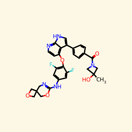 CC1(O)CN(C(=O)c2ccc(-c3c[nH]c4nccc(Oc5c(F)cc(NC6=NCC7(COC7)CO6)cc5F)c34)cc2)C1